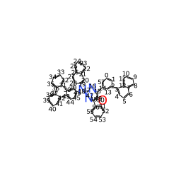 c1cc(-c2cccc3ccccc23)cc(-c2nc(-n3c4cc5ccccc5cc4c4c5c6ccccc6c6ccccc6c5ccc43)nc3c2oc2ccccc23)c1